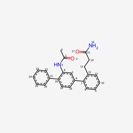 CC(=O)Nc1cc(-c2ccccc2CCC(N)=O)ccc1-c1ccccc1